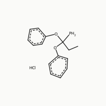 CCC(P)(Oc1ccccc1)Oc1ccccc1.Cl